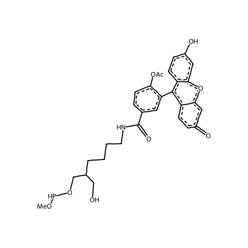 COPOCC(CO)CCCCNC(=O)c1ccc(OC(C)=O)c(-c2c3ccc(=O)cc-3oc3cc(O)ccc23)c1